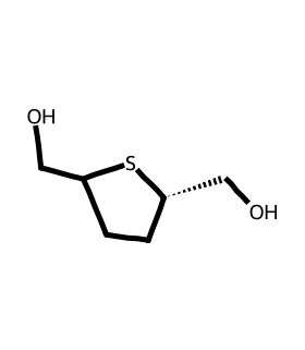 OCC1CC[C@@H](CO)S1